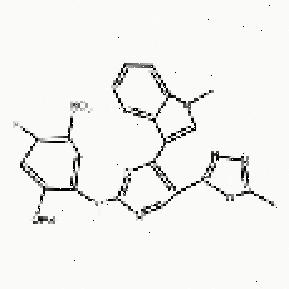 COc1cc(F)c([N+](=O)[O-])cc1Nc1ncc(-c2nnc(C)o2)c(-c2cn(C)c3ccccc23)n1